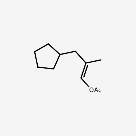 CC(=O)OC=C(C)CC1CCCC1